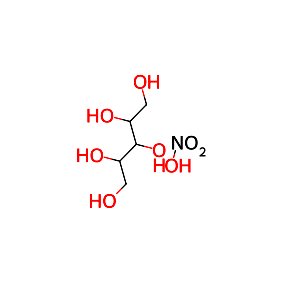 O=[N+]([O-])O.OCC(O)C(O)C(O)CO